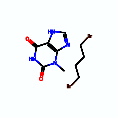 BrCCCCBr.Cn1c(=O)[nH]c(=O)c2[nH]cnc21